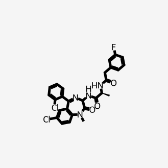 C[C@H](NC(=O)Cc1cccc(F)c1)C(=O)NC1N=C(c2ccccc2Cl)c2cc(Cl)ccc2N(C)C1=O